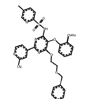 COc1ccccc1Oc1c(NS(=O)(=O)c2ccc(C)cn2)nc(-c2ccnc(C#N)c2)nc1OCCOCc1ccccc1